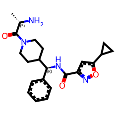 C[C@H](N)C(=O)N1CCC([C@@H](NC(=O)c2cc(C3CC3)on2)c2ccccc2)CC1